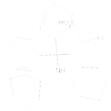 O=C(O)C(Cl)=C(C1CCCCC1)C(NC1CCCCC1)(c1ccccc1)c1ccccc1